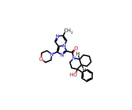 Cc1cn2c(C(=O)N3CCC(O)(c4ccccc4)[C@H]4CCCC[C@H]43)nc(N3CCOCC3)c2cn1